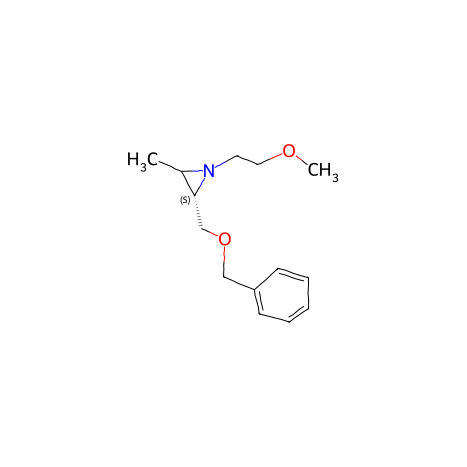 COCCN1C(C)[C@H]1COCc1ccccc1